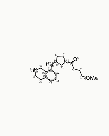 COCCCC(=O)N1CC[C@H](Nc2cccc3c2CNCC3)C1